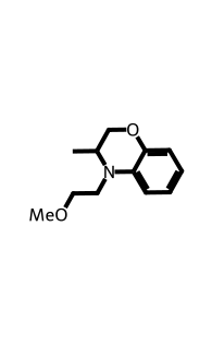 COCCN1c2ccccc2OCC1C